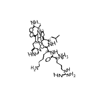 CC(C)C[C@H](NC(=O)[C@H](CCCCN)NC(=O)[C@H](N)CCCNC(=N)N)C(=O)N[C@@H](Cc1c[nH]cn1)C(=O)N[C@H](C)C(N)=O